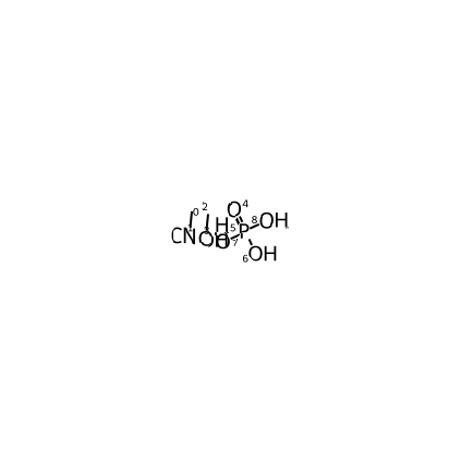 CC#N.CO.O=P(O)(O)O